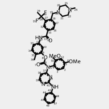 COc1ccc(N(C(=O)Oc2cc(NC(=O)c3ccc(CN4CCN(C)CC4)c(C(C)(F)F)c3)ccc2C)c2ccnc(Nc3ccccc3)n2)c(OC)c1